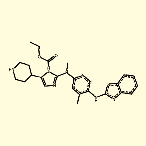 CCOC(=O)[SH]1C(C2CCNCC2)=CN=C1N(C)c1cc(C)c(Nc2nc3ccccc3s2)nn1